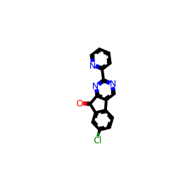 O=C1c2cc(Cl)ccc2-c2cnc(-c3ccccn3)nc21